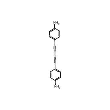 Nc1ccc(C#CC#Cc2ccc(N)cc2)cc1